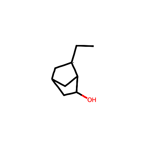 CC[C]1CC2CC(O)C1C2